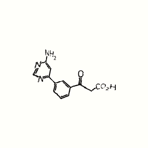 Nc1cc(-c2cccc(C(=O)CC(=O)O)c2)ncn1